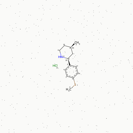 CSc1ccc([C@@H]2C[C@H](C)CCN2)cc1.Cl